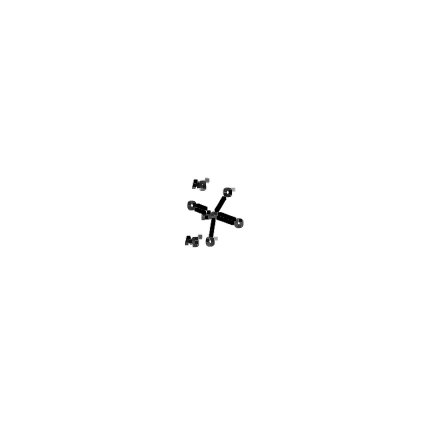 [Ag+].[Ag+].[O]=[Mo](=[O])([O-])[O-]